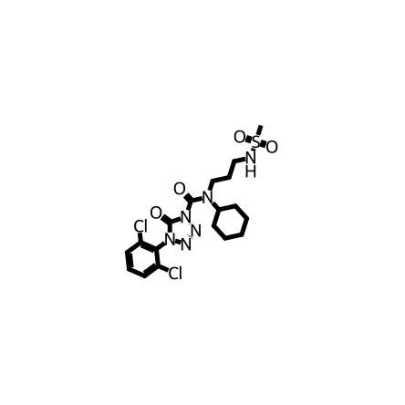 CS(=O)(=O)NCCCN(C(=O)n1nnn(-c2c(Cl)cccc2Cl)c1=O)C1CCCCC1